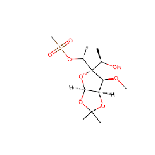 CO[C@H]1[C@H]2OC(C)(C)O[C@H]2O[C@@]1([C@@H](C)O)[C@@H](C)OS(C)(=O)=O